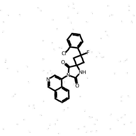 O=C1NC2(CC(F)(c3ccccc3Cl)C2)C(=O)N1c1cncc2ccccc12